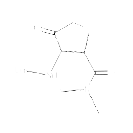 CN(C)C(=O)C1OCC(=O)C1NC(C)(C)C